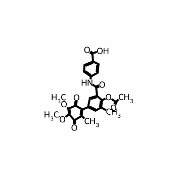 COC1=C(OC)C(=O)C(c2cc(C)c(OC(C)=O)c(C(=O)Nc3ccc(C(=O)O)cc3)c2)=C(C)C1=O